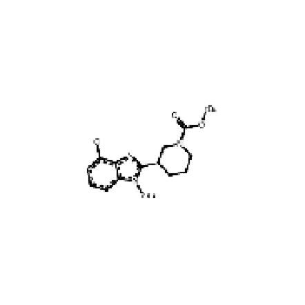 CCCCn1c([C@@H]2CCCN(C(=O)OC(C)(C)C)C2)nc2c(Cl)cccc21